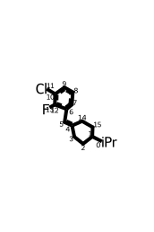 CC(C)C1CCC(=Cc2cccc(Cl)c2F)CC1